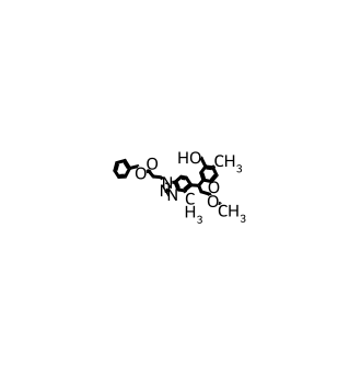 CCOC(=O)CC(c1ccc(C)c(CO)c1)c1ccc2c(nnn2CCC(=O)OCc2ccccc2)c1C